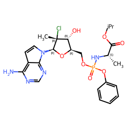 CC(C)OC(=O)[C@H](C)NP(=O)(OC[C@H]1O[C@@H](n2ccc3c(N)ncnc32)[C@](C)(Cl)[C@@H]1O)Oc1ccccc1